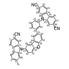 Cc1ccc2c3ccc(C#N)cc3n(-c3ccc4oc5ccc(-c6cccc(-n7c8cc(C#N)ccc8c8ccc(C#N)cc87)c6)cc5c4c3)c2c1